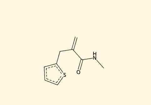 C=C(Cc1cccs1)C(=O)NC